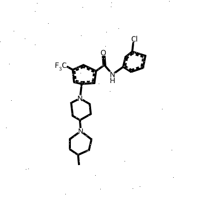 CC1CCN(C2CCN(c3cc(C(=O)Nc4cccc(Cl)c4)cc(C(F)(F)F)c3)CC2)CC1